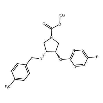 CC(C)(C)OC(=O)N1C[C@@H](OCc2ccc(C(F)(F)F)cc2)[C@H](Oc2ncc(F)cn2)C1